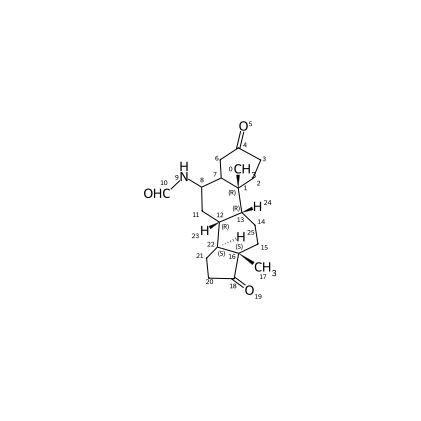 C[C@]12CCC(=O)CC1C(NC=O)C[C@@H]1[C@H]2CC[C@]2(C)C(=O)CC[C@@H]12